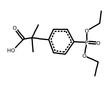 CCOP(=O)(OCC)c1ccc(C(C)(C)C(=O)O)cc1